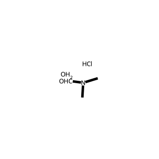 CN(C)C=O.Cl.O